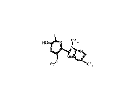 CCSc1cc(O)c(I)nc1-c1nc2cc(C(F)(F)F)cnc2n1C